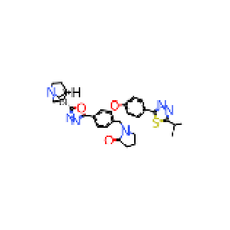 CC(C)c1nnc(-c2ccc(Oc3cc(-c4nnc([C@@H]5CN6CC[C@H]5C6)o4)ccc3CN3CCCC3=O)cc2)s1